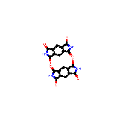 O=c1[nH]c(=O)c2cc3c(=O)[nH]c(=O)c3cc12.O=c1[nH]c(=O)c2cc3c(=O)[nH]c(=O)c3cc12